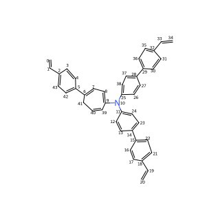 C=Cc1ccc(C2=CC=C(N(c3ccc(-c4ccc(C=C)cc4)cc3)c3ccc(-c4ccc(C=C)cc4)cc3)C=CC2)cc1